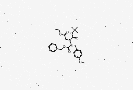 CCOC(=O)CN(C(=O)OC(C)(C)C)[C@H](Cc1ccc(OC)cc1)C(=O)OCc1ccccc1